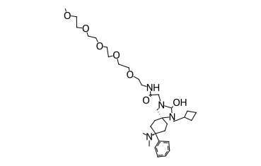 COCCOCCOCCOCCOCCNC(=O)CN1C[C@]2(CC[C@](c3ccccc3)(N(C)C)CC2)N(CC2CCC2)C1O